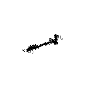 Cc1ncsc1-c1ccc(CNC(=O)[C@@H]2CCCN2C(=O)C(NC(=O)COCCOCCCCCOCCCCCOCCOCCOc2ccc(N3C(=S)N(c4ccc(C#N)c(C(F)(F)F)c4)C(=O)C3(C)C)cc2)C(C)(C)C)cc1